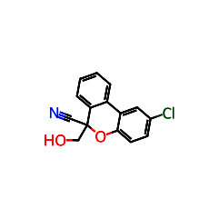 N#CC1(CO)Oc2ccc(Cl)cc2-c2ccccc21